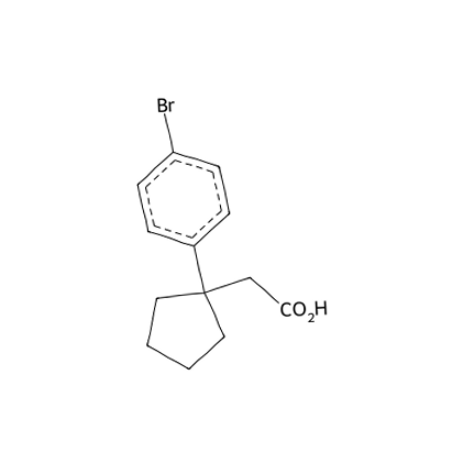 O=C(O)CC1(c2ccc(Br)cc2)CCCC1